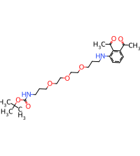 CC(=O)c1cccc(NCCCOCCOCCOCCCNC(=O)OC(C)(C)C)c1C(C)=O